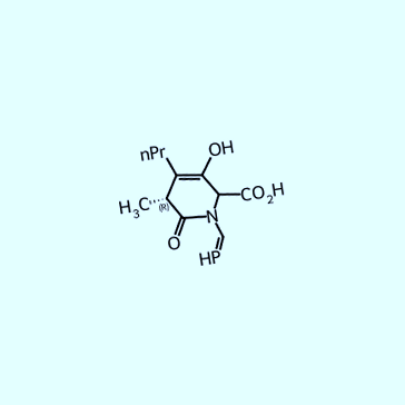 CCCC1=C(O)C(C(=O)O)N(C=P)C(=O)[C@@H]1C